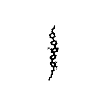 CCCCCCCc1ccc(-c2ccc(-c3ccc(C4=CCC(C5CCC(CCC)CC5)CC4)c(F)c3)cc2)c(F)c1F